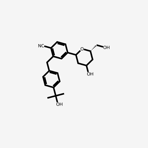 CC(C)(O)c1ccc(Cc2cc(C3CC(O)C[C@@H](CO)O3)ccc2C#N)cc1